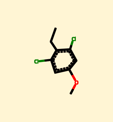 CCc1c(Cl)cc(OC)cc1Cl